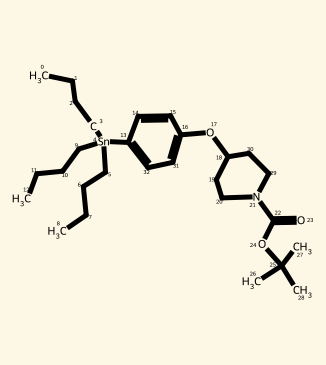 CCC[CH2][Sn]([CH2]CCC)([CH2]CCC)[c]1ccc(OC2CCN(C(=O)OC(C)(C)C)CC2)cc1